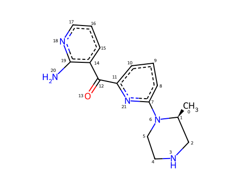 C[C@H]1CNCCN1c1cccc(C(=O)c2cccnc2N)n1